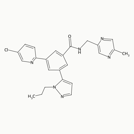 CCCn1nccc1-c1cc(C(=O)NCc2cnc(C)cn2)cc(-c2ccc(Cl)cn2)c1